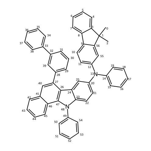 CC1(C)c2ccccc2-c2ccc(N(c3ccccc3)c3ccc4c(c3)c3c(-c5cccc(-c6ccccc6)c5)cc5ccccc5c3n4-c3ccccc3)cc21